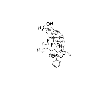 CC(C(O)CC([C@@H](C)[C@H]1CC[C@H]2[C@@H]3CC=C4C[C@@](C)(O)CC[C@]4(C)[C@H]3CC[C@]12C)S(=O)(=O)c1ccccc1)C(F)(F)F